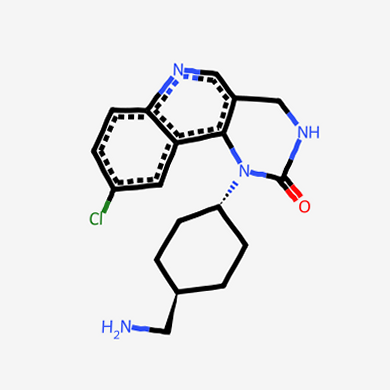 NC[C@H]1CC[C@H](N2C(=O)NCc3cnc4ccc(Cl)cc4c32)CC1